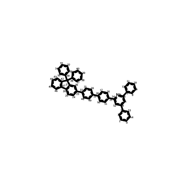 c1ccc(-c2cc(-c3ccccc3)nc(-c3ccc(-c4ccc(-c5ccc6c(c5)C(c5ccccc5)(c5ccccc5)c5ccccc5-6)cc4)cc3)c2)cc1